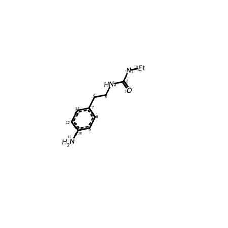 CC[N]C(=O)NCCc1ccc(N)cc1